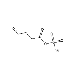 C=CCCC(=O)OS(=O)(=O)CCC